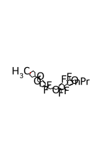 CCCOc1ccc(-c2ccc(OCCC(F)(F)c3ccc(OC(=O)C4CCC(C)CC4)cc3)c(F)c2F)c(F)c1F